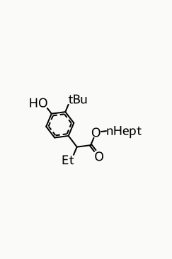 CCCCCCCOC(=O)C(CC)c1ccc(O)c(C(C)(C)C)c1